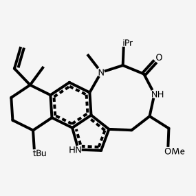 C=CC1(C)CCC(C(C)(C)C)c2c1cc1c3c(c[nH]c23)CC(COC)NC(=O)C(C(C)C)N1C